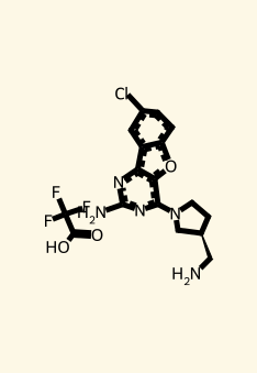 NC[C@@H]1CCN(c2nc(N)nc3c2oc2ccc(Cl)cc23)C1.O=C(O)C(F)(F)F